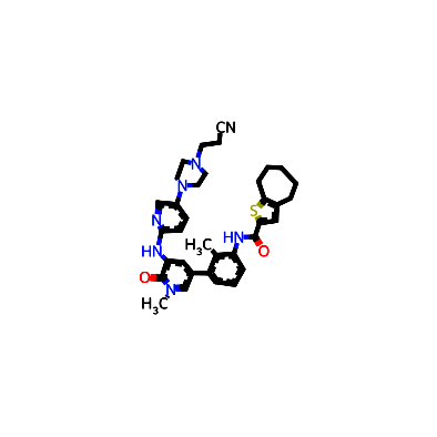 Cc1c(NC(=O)c2cc3c(s2)CCCCC3)cccc1-c1cc(Nc2ccc(N3CCN(CCC#N)CC3)cn2)c(=O)n(C)c1